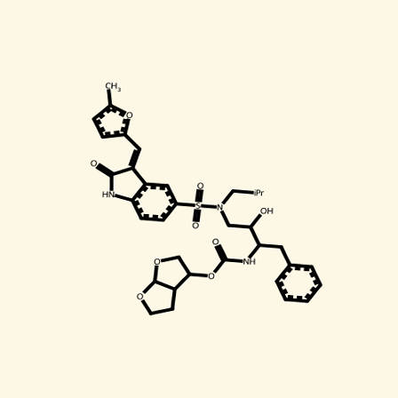 Cc1ccc(/C=C2\C(=O)Nc3ccc(S(=O)(=O)N(CC(C)C)CC(O)C(Cc4ccccc4)NC(=O)OC4COC5OCCC45)cc32)o1